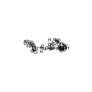 CC1(C)CCN2CCC(C)(C)c3c2c1cc1cc(C(=O)NC(CNC(=O)C2=C/C=C\C=C/C=C\2)C(=O)NCCCCCNC(=O)c2cccc(OCC(N=[N+]=[N-])OCC(=O)NCC#Cc4cn(C5CC(OCN=[N+]=[N-])C(COP(=O)(O)OP(=O)(O)OP(=O)(O)O)O5)c(=O)nc4N)c2)c(=O)oc31